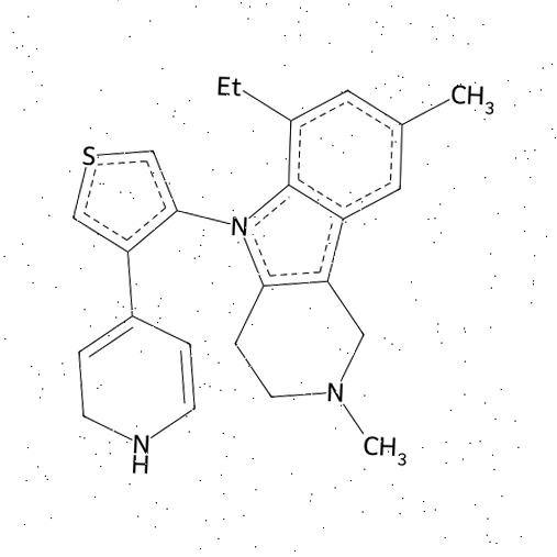 CCc1cc(C)cc2c3c(n(-c4cscc4C4=CCNC=C4)c12)CCN(C)C3